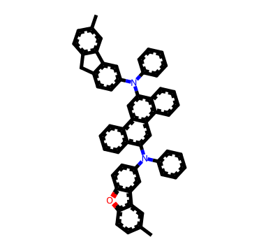 Cc1ccc2c(c1)-c1cc(N(c3ccccc3)c3cc4c5ccccc5c(N(c5ccccc5)c5ccc6oc7ccc(C)cc7c6c5)cc4c4ccccc34)ccc1C2